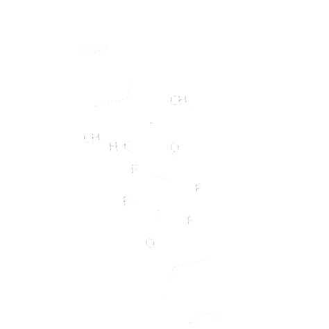 Cc1ccccc1C(C)(C)OC(F)(F)C(F)(F)Oc1ccccc1